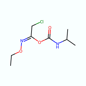 CCON=C(CCl)OC(=O)NC(C)C